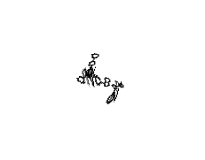 c1ccc(-c2ccc(-c3nc(-c4ccccc4)nc(-c4ccc(-c5ccc(-c6cc(-c7ccccn7)nc(-c7ccccn7)c6)c6ccccc56)cc4)n3)cc2)cc1